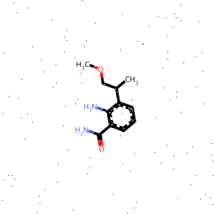 COCC(C)c1cccc(C(N)=O)c1N